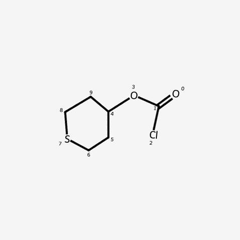 O=C(Cl)OC1CCSCC1